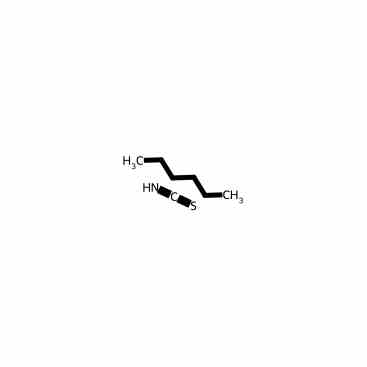 CCCCCC.N=C=S